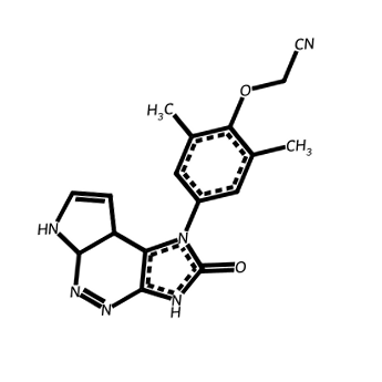 Cc1cc(-n2c3c([nH]c2=O)N=NC2NC=CC32)cc(C)c1OCC#N